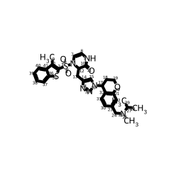 Cc1c(S(=O)(=O)N2C=CNC(=O)C2Cc2cn(C3CCOc4cc(CN(C)C(C)C)ccc43)nn2)sc2ccccc12